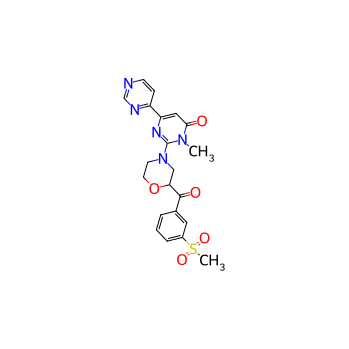 Cn1c(N2CCOC(C(=O)c3cccc(S(C)(=O)=O)c3)C2)nc(-c2ccncn2)cc1=O